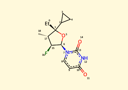 CC[C@@]1(C2CC2)O[C@@H](n2ccc(=O)[nH]c2=O)[C@@H](F)[C@@H]1C